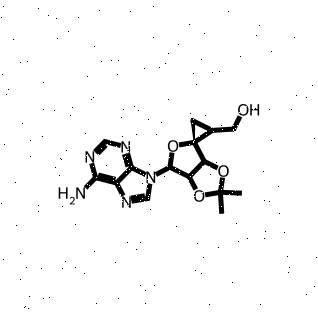 CC1(C)OC2C(n3cnc4c(N)ncnc43)O[C@@]3(CC3CO)C2O1